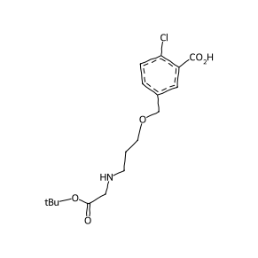 CC(C)(C)OC(=O)CNCCCOCc1ccc(Cl)c(C(=O)O)c1